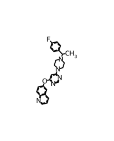 CC(c1ccc(F)cc1)N1CCN(c2cc(Oc3ccc4ncccc4c3)ncn2)CC1